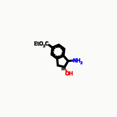 CCOC(=O)c1ccc2c(c1)C[C@@H](O)C2N